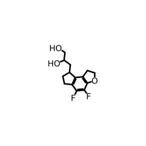 OCC(O)CC1CCc2c(F)c(F)c3c(c21)CCO3